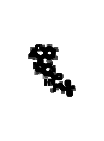 C[C@H](/C=C/S(C)(=O)=O)NC(=O)c1cc2cnn(C(c3ccccc3Cl)C3CC3)c2cn1